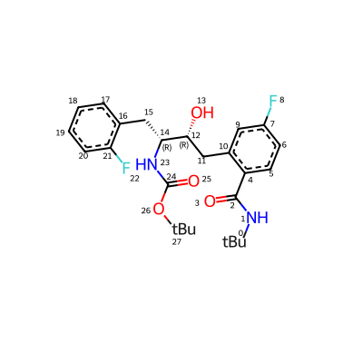 CC(C)(C)NC(=O)c1ccc(F)cc1C[C@@H](O)[C@@H](Cc1ccccc1F)NC(=O)OC(C)(C)C